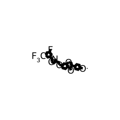 [O]c1ccc(-c2coc3cc(OCc4coc(-c5cc(F)cc(C(F)(F)F)c5)n4)ccc3c2=O)cc1